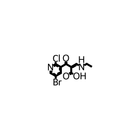 CCN/C=C(\C(=O)O)C(=O)c1cc(Br)cnc1Cl